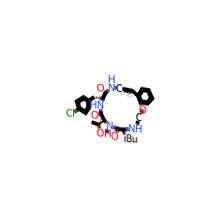 CCC(C)[C@@H]1NCCOc2ccccc2/C=C/CNC(=O)[C@@H](Cc2ccc(Cl)cc2)NC(=O)[C@H](C(C)O)N(C)C1=O